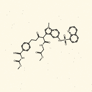 COC(=O)CNC(=O)C(C(=O)CCc1ccc(C(=N)NC(=O)OC)cc1)c1cn(C)c2ccc(NS(=O)(=O)c3cccc4cccnc34)cc12